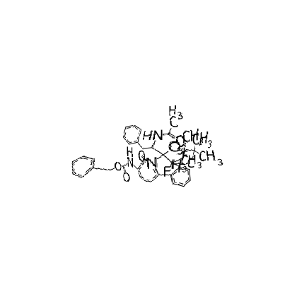 CC(=O)NC(Cc1ccccc1)C(O[Si](C)(C)C(C)(C)C)(n1c(-c2ccccc2)ccc(NC(=O)OCc2ccccc2)c1=O)C(F)(F)F